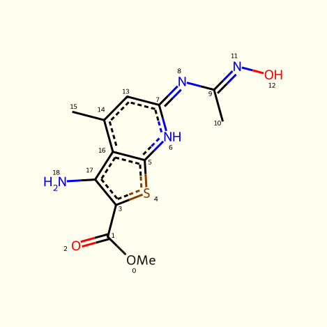 COC(=O)c1sc2[nH]/c(=N\C(C)=N\O)cc(C)c2c1N